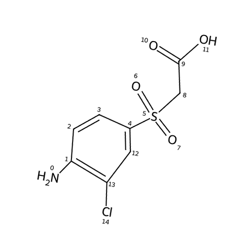 Nc1ccc(S(=O)(=O)CC(=O)O)cc1Cl